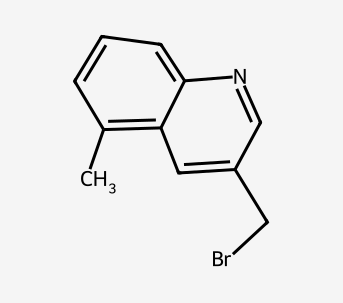 Cc1cccc2ncc(CBr)cc12